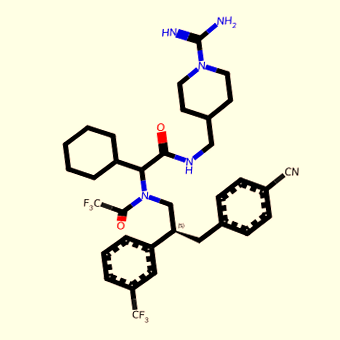 N#Cc1ccc(C[C@H](CN(C(=O)C(F)(F)F)C(C(=O)NCC2CCN(C(=N)N)CC2)C2CCCCC2)c2cccc(C(F)(F)F)c2)cc1